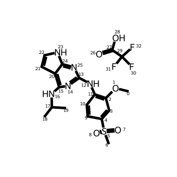 COc1cc(S(C)(=O)=O)ccc1Nc1nc(NC(C)C)c2cc[nH]c2n1.O=C(O)C(F)(F)F